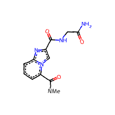 CNC(=O)c1cccc2nc(C(=O)NCC(N)=O)cn12